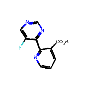 O=C(O)c1cccnc1-c1ncncc1F